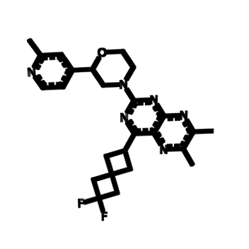 Cc1cc(C2CN(c3nc(C4CC5(C4)CC(F)(F)C5)c4nc(C)c(C)nc4n3)CCO2)ccn1